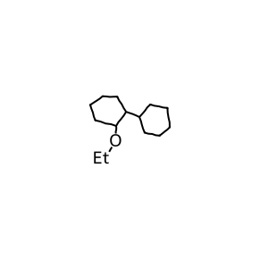 CCOC1CCCCC1C1CCCCC1